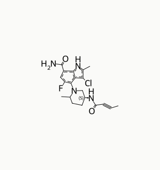 CC#CC(=O)N[C@H]1CCC(C)N(c2c(F)cc(C(N)=O)c3[nH]c(C)c(Cl)c23)C1